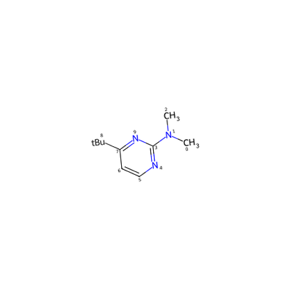 CN(C)c1nccc(C(C)(C)C)n1